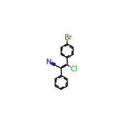 N#CC(=C(Cl)c1ccc(Br)cc1)c1ccccc1